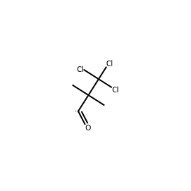 CC(C)([C]=O)C(Cl)(Cl)Cl